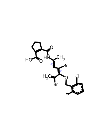 C=C(Br)/C(OCc1c(F)cccc1Cl)=C(Br)\C=C(/C)NC(=O)C1=C(C(=O)O)CCC1